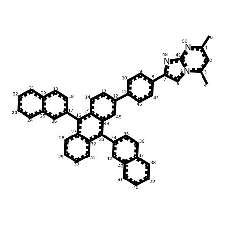 Cc1cc(C)n2cc(-c3ccc(-c4ccc5c(-c6ccc7ccccc7c6)c6ccccc6c(-c6ccc7ccccc7c6)c5c4)cc3)nc2n1